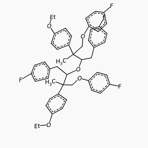 CCOc1ccc(C(C)(COc2ccc(F)cc2)C(Cc2ccc(F)cc2)OC(Cc2ccc(F)cc2)C(C)(COc2ccc(F)cc2)c2ccc(OCC)cc2)cc1